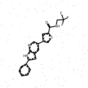 O=C(NCC(F)(F)F)c1cc(-c2cnc3[nH]c(-c4ccccc4)cc3c2)cs1